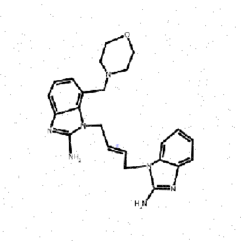 Nc1nc2ccccc2n1C/C=C/Cn1c(N)nc2cccc(CN3CCOCC3)c21